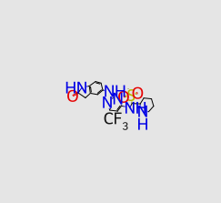 CS(=O)(=O)C(Nc1nc(Nc2ccc3c(c2)CC(=O)N3)ncc1C(F)(F)F)C1CCCCN1